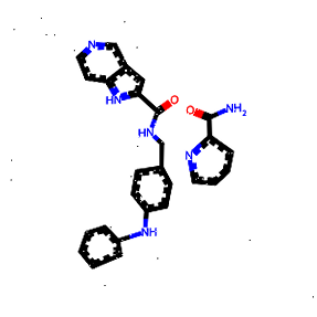 NC(=O)c1ccccn1.O=C(NCc1ccc(Nc2ccccc2)cc1)c1cc2cnccc2[nH]1